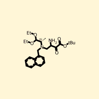 CCOC(OCC)[C@H](C)N(Cc1cccc2ccccc12)CC(N)C(=O)C(=O)OC(C)(C)C